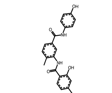 Cc1ccc(C(=O)Nc2cc(C(=O)Nc3ccc(O)cc3)ccc2C)c(O)c1